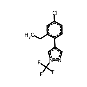 CCc1cc(Cl)ccc1-c1cnn(C(F)(F)F)c1